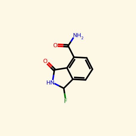 NC(=O)c1cccc2c1C(=O)NC2F